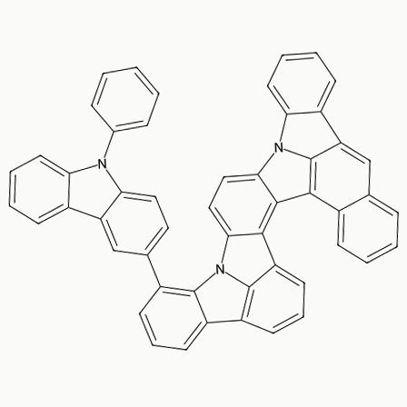 c1ccc(-n2c3ccccc3c3cc(-c4cccc5c6cccc7c8c9c%10c%11ccccc%11cc%11c%12ccccc%12n(c9ccc8n(c45)c67)c%11%10)ccc32)cc1